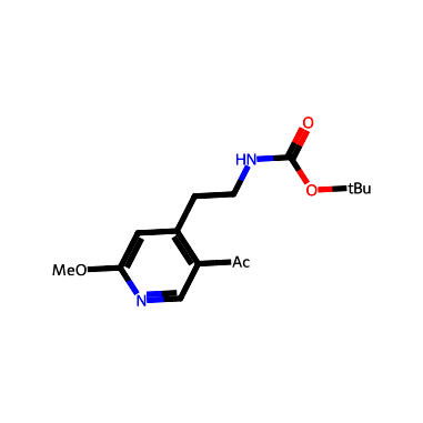 COc1cc(CCNC(=O)OC(C)(C)C)c(C(C)=O)cn1